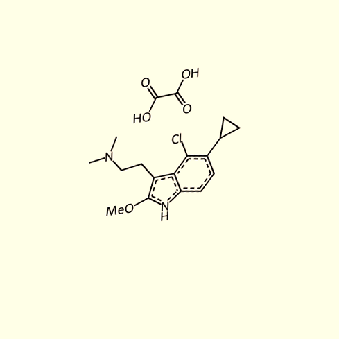 COc1[nH]c2ccc(C3CC3)c(Cl)c2c1CCN(C)C.O=C(O)C(=O)O